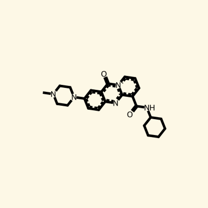 CN1CCN(c2ccc3nc4c(C(=O)NC5CCCCC5)cccn4c(=O)c3c2)CC1